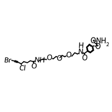 NS(=O)(=O)c1ccc(C(=O)NCCCOCCOCCOCCCNC(=O)CCCC(Cl)C#CBr)cc1